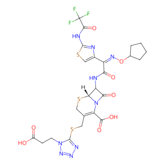 O=C(O)CCn1nnnc1SCC1=C(C(=O)O)N2C(=O)C(NC(=O)/C(=N\OC3CCCC3)c3csc(NC(=O)C(F)(F)F)n3)[C@H]2SC1